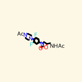 [CH2]C(=O)N1CCN(c2c(F)cc(N3CC(CNC(C)=O)OC3=O)cc2F)CC1